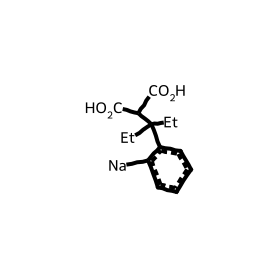 CCC(CC)(c1cccc[c]1[Na])C(C(=O)O)C(=O)O